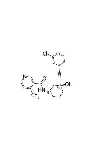 O=C(N[C@H]1CCC[C@@](O)(C#Cc2cccc(Cl)c2)C1)c1cnccc1C(F)(F)F